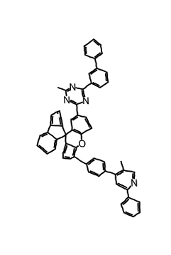 Cc1nc(-c2cccc(-c3ccccc3)c2)nc(-c2ccc3c(c2)C2(c4ccccc4-c4ccccc42)c2cccc(-c4ccc(-c5cc(-c6ccccc6)ncc5C)cc4)c2O3)n1